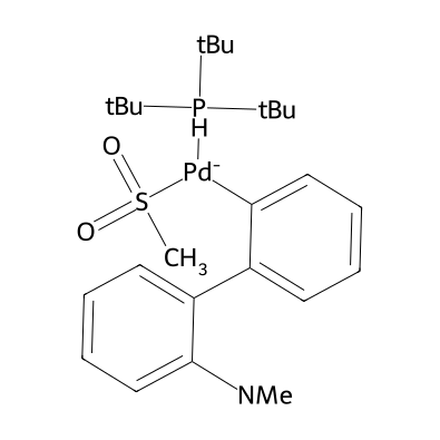 CNc1ccccc1-c1cccc[c]1[Pd-]([PH](C(C)(C)C)(C(C)(C)C)C(C)(C)C)[S](C)(=O)=O